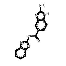 Nc1nc2cc(C(=O)Nc3nc4ccccc4s3)ccc2[nH]1